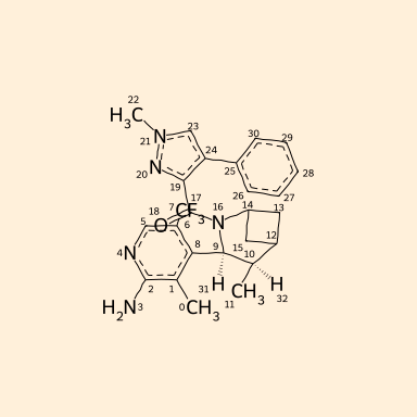 Cc1c(N)ncc(C(F)(F)F)c1[C@@H]1[C@H](C)C2CC(C2)N1C(=O)c1nn(C)cc1-c1ccccc1